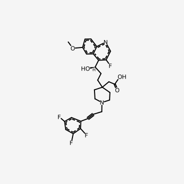 COc1ccc2ncc(F)c([C@H](O)CCC3(CC(=O)O)CCN(CC#Cc4cc(F)cc(F)c4F)CC3)c2c1